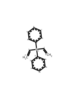 C=C[Si](C=C)(c1ccccc1)c1ccccc1